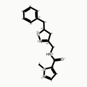 Cn1nccc1C(=O)NCC1=NOC(Cc2ccccc2)C1